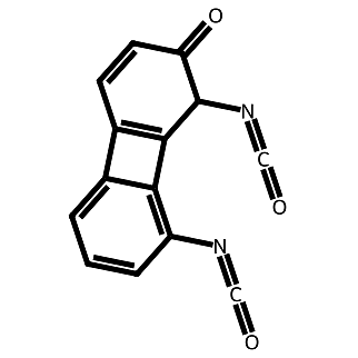 O=C=Nc1cccc2c1C1=C2C=CC(=O)C1N=C=O